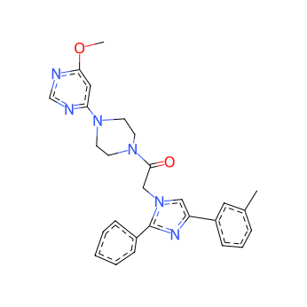 COc1cc(N2CCN(C(=O)Cn3cc(-c4cccc(C)c4)nc3-c3ccccc3)CC2)ncn1